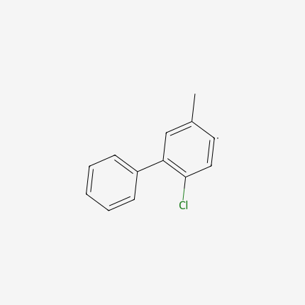 Cc1[c]cc(Cl)c(-c2ccccc2)c1